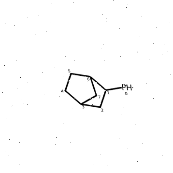 [PH]C1CC2CCC1C2